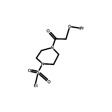 CCS(=O)(=O)N1CCN(C(=O)COC(C)C)CC1